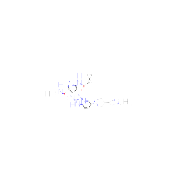 CNC(=O)c1cnc(NC(=O)[C@@H]2CC23CC3)cc1Nc1nc2ccc(N3CCC(C4CN(C)C4)CC3)cn2n1